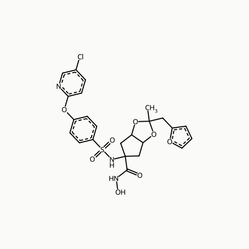 CC1(Cc2ccco2)OC2CC(NS(=O)(=O)c3ccc(Oc4ccc(Cl)cn4)cc3)(C(=O)NO)CC2O1